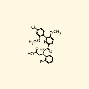 COc1cc(Cl)ccc1-c1nc(C(=O)NC(CC(=O)O)c2ccccc2F)ccc1OC